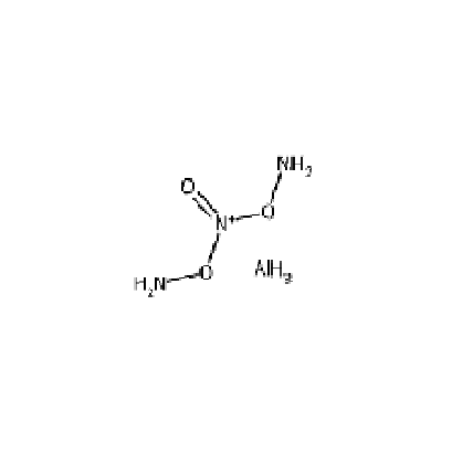 NO[N+](=O)ON.[AlH3]